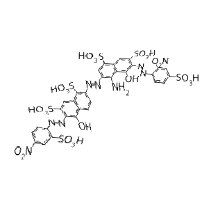 Nc1c(N=Nc2ccc3c(O)c(N=Nc4ccc([N+](=O)[O-])cc4S(=O)(=O)O)c(S(=O)(=O)O)cc3c2S(=O)(=O)O)cc(S(=O)(=O)O)c2cc(S(=O)(=O)O)c(N=Nc3ccc(S(=O)(=O)O)cc3[N+](=O)[O-])c(O)c12